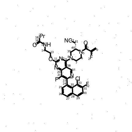 C=C(F)C(=O)N1CCN(c2nc(OCCNC(=O)C(C)C)nc3c(F)c(-c4cccc5ccc(F)c(Cl)c45)ncc23)C[C@@H]1CC#N